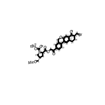 COC[C@H]1CC(C(=O)OCC(=O)c2ccc3c(c2)COc2cc4c(cc2-3)CCC(CBr)C4=O)N(C(=O)OC(C)(C)C)C1